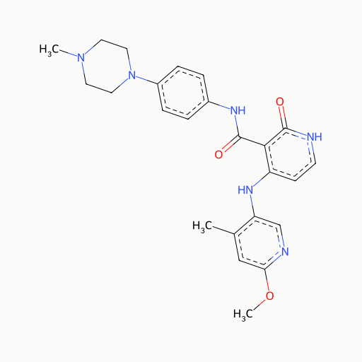 COc1cc(C)c(Nc2cc[nH]c(=O)c2C(=O)Nc2ccc(N3CCN(C)CC3)cc2)cn1